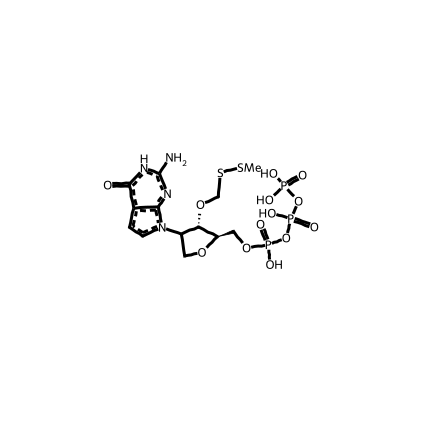 CSSCO[C@H]1C(n2ccc3c(=O)[nH]c(N)nc32)CO[C@@H]1COP(=O)(O)OP(=O)(O)OP(=O)(O)O